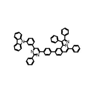 c1ccc(-c2nc(-c3ccc(-c4ccc5cc(-c6ccccc6)n6nc(-c7ccccc7)c(-c7ccccc7)c6c5c4)cc3)cc(-c3cccc(-n4c5ccccc5c5ccccc54)c3)n2)cc1